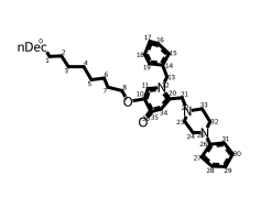 CCCCCCCCCCCCCCCCCCOc1cn(Cc2ccccc2)c(CN2CCN(c3ccccc3)CC2)cc1=O